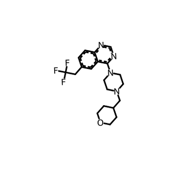 FC(F)(F)Cc1ccc2ncnc(N3CCN(CC4CCOCC4)CC3)c2c1